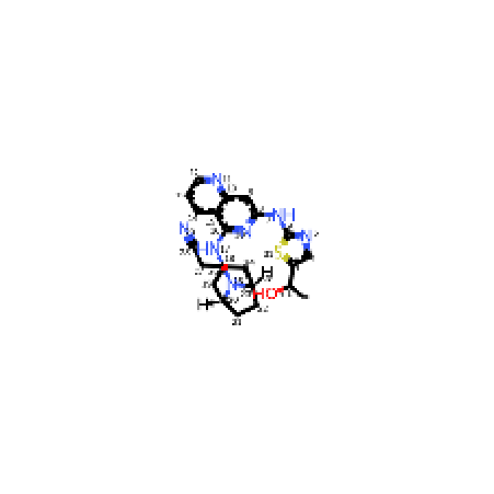 CC(O)c1cnc(Nc2cc3ncccc3c(N[C@@H]3C[C@H]4CC[C@@H](C3)N4CCC#N)n2)s1